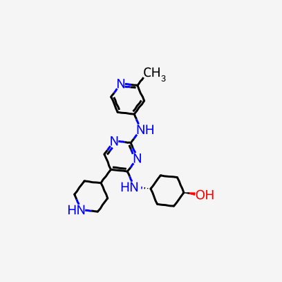 Cc1cc(Nc2ncc(C3CCNCC3)c(N[C@H]3CC[C@H](O)CC3)n2)ccn1